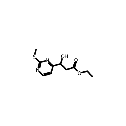 CCOC(=O)CC(O)c1ccnc(SC)n1